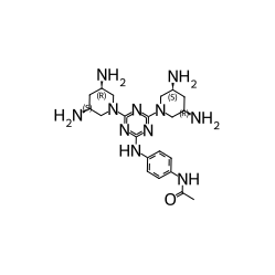 CC(=O)Nc1ccc(Nc2nc(N3C[C@H](N)C[C@H](N)C3)nc(N3C[C@H](N)C[C@H](N)C3)n2)cc1